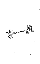 C=Cn1ccnc1C(Br)CCCCCCC(Br)c1nccn1C=C